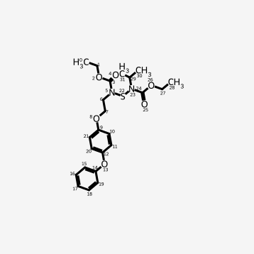 CCOC(=O)N(CCOc1ccc(Oc2ccccc2)cc1)SN(C(=O)OCC)C(C)C